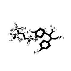 CCC(c1ccc(O)cc1)C(CC)c1ccc(O)c(NS(=O)(=O)CCC(P(=O)(O)O)P(=O)(O)O)c1